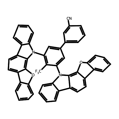 N#Cc1cccc(-c2cc(-n3c4ccccc4c4ccc5c6ccccc6oc5c43)c(C(F)(F)F)c(-n3c4ccccc4c4ccc5c6ccccc6oc5c43)c2)c1